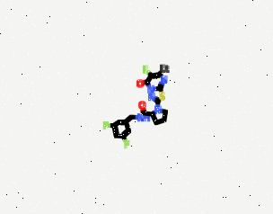 CCc1nc2sc(N3CCCC3C(=O)NCc3cc(F)cc(F)c3)nn2c(=O)c1F